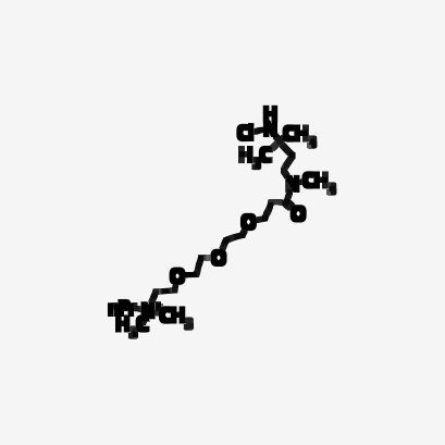 CCC[N+](C)(C)CCOCCOCCOCCC(=O)N(C)CCC(C)(C)NCl